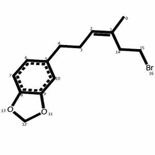 CC(=CCCc1ccc2c(c1)OCO2)CCBr